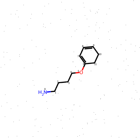 NCCCCOC1=CC=CCC1